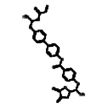 C=CC(=O)OC(CCCC)Oc1ccc(-c2ccc(OC(=O)c3ccc(OC(CCC)C4CC(=C)C(=O)O4)cc3)cc2)cc1